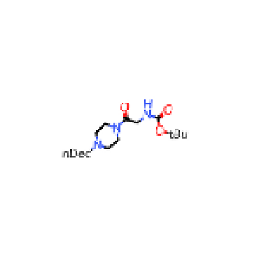 CCCCCCCCCCN1CCN(C(=O)CNC(=O)OC(C)(C)C)CC1